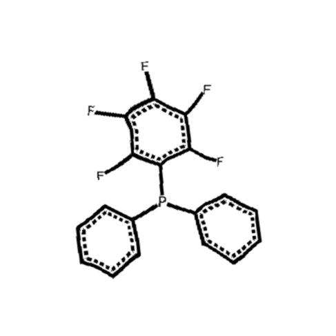 Fc1c(F)c(F)c(P(c2ccccc2)c2ccccc2)c(F)c1F